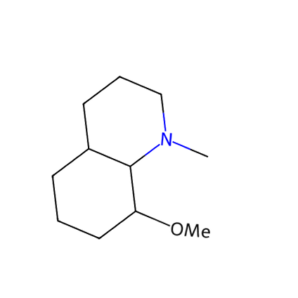 COC1CCCC2CCCN(C)C21